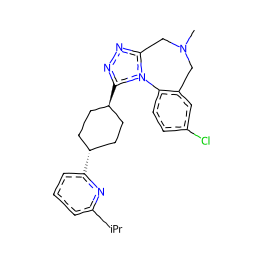 CC(C)c1cccc([C@H]2CC[C@H](c3nnc4n3-c3ccc(Cl)cc3CN(C)C4)CC2)n1